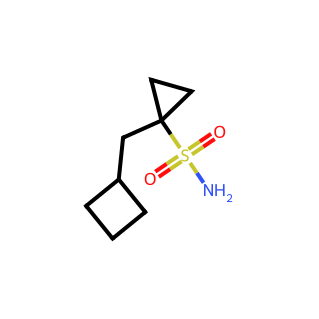 NS(=O)(=O)C1(CC2CCC2)CC1